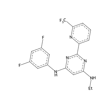 CCNc1cc(Nc2cc(F)cc(F)c2)nc(-c2cccc(C(F)(F)F)n2)n1